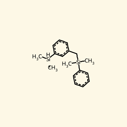 C[SiH](C)c1cccc(C[Si](C)(C)c2ccccc2)c1